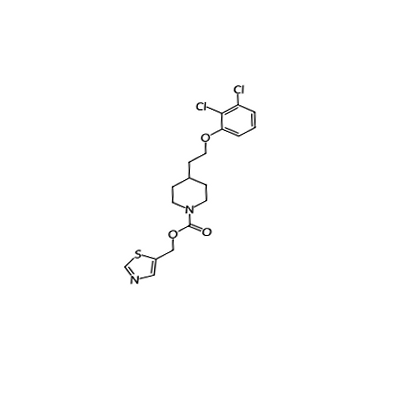 O=C(OCc1cncs1)N1CCC(CCOc2cccc(Cl)c2Cl)CC1